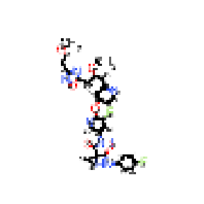 COCCc1noc(-c2cc3c(Oc4ncc(NC(=O)C5(C(=O)Nc6ccc(F)cc6)CC5)cc4F)ccnc3cc2OC)n1